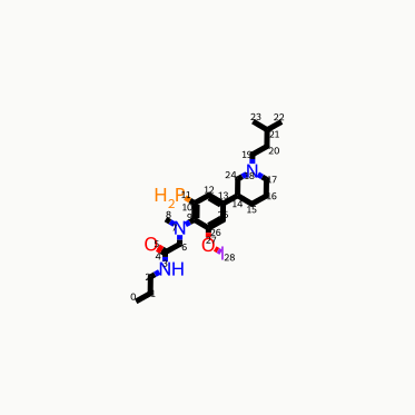 CCCNC(=O)CN(C)c1c(P)cc(C2CCCN(CCC(C)C)C2)cc1OI